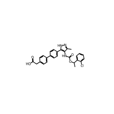 Cc1n[nH]c(-c2ccc(-c3ccc(CC(=O)O)cc3)cc2)c1NC(=O)OC(C)c1ccccc1Cl